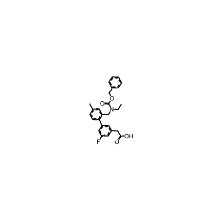 CCN(Cc1cc(C)ccc1-c1cc(F)cc(CC(=O)O)c1)C(=O)OCc1ccccc1